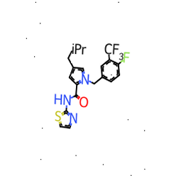 CC(C)Cc1cc(C(=O)Nc2nccs2)n(Cc2ccc(F)c(C(F)(F)F)c2)c1